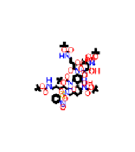 CN(C(=O)OC(C)(C)C)[C@@H]1[C@@H](O)[C@@H](O[C@H]2[C@H](NC(=O)[C@@H](O)CCNC(=O)OC(C)(C)C)C[C@H](NC(=O)OC(C)(C)C)C([C@H]3OC(CN(CCCCCNC(=O)OC(C)(C)C)S(=O)(=O)c4ccccc4N=O)=CC[C@H]3NC(=O)OC(C)(C)C)[C@@H]2O)OC[C@]1(C)O